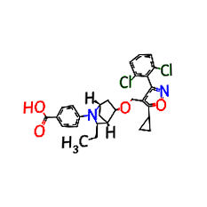 CC[C@@H]1[C@@H]2C[C@@H](C[C@H]2OCc2c(-c3c(Cl)cccc3Cl)noc2C2CC2)N1c1ccc(C(=O)O)cc1